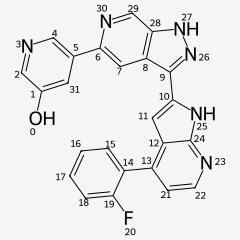 Oc1cncc(-c2cc3c(-c4cc5c(-c6ccccc6F)ccnc5[nH]4)n[nH]c3cn2)c1